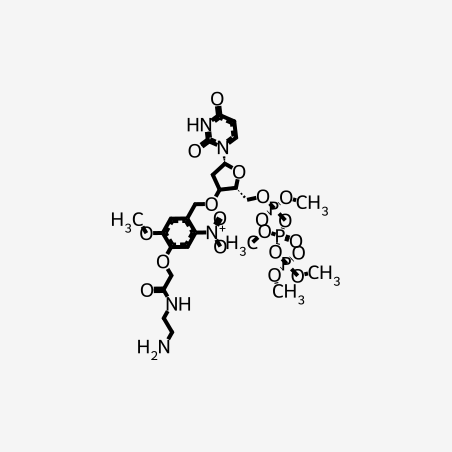 COc1cc(COC2C[C@H](n3ccc(=O)[nH]c3=O)O[C@@H]2COP(=O)(OC)OP(=O)(OC)OP(=O)(OC)OC)c([N+](=O)[O-])cc1OCC(=O)NCCN